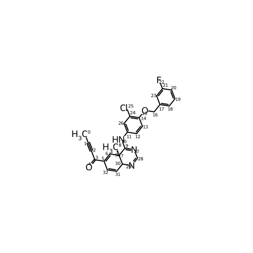 CC#CC(=O)C1=C[C@]2(C)C(Nc3ccc(OCc4cccc(F)c4)c(Cl)c3)=NC=NC2C=C1